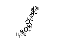 CC(C)(C)OC(=O)N1CCC(Oc2ncnc3c2cnn3-c2ccc(S(C)(=O)=O)cc2F)C1